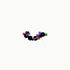 Cn1nc(-c2ccc(CN3CCN(S(=O)(=O)c4cc5cc(Cl)ccc5[nH]4)CC3)cc2)ccc1=O